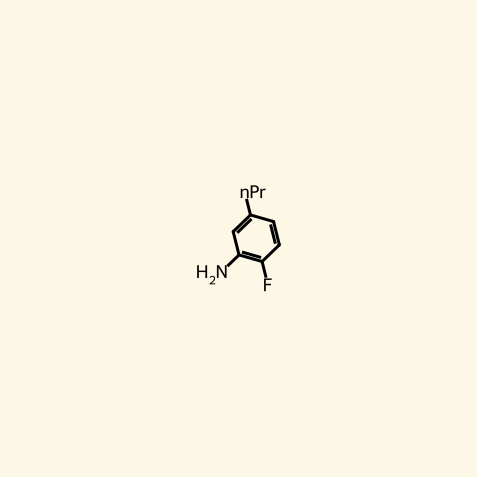 CCCc1ccc(F)c(N)c1